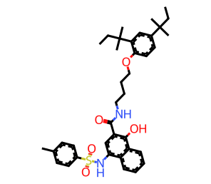 CCC(C)(C)c1ccc(OCCCCNC(=O)c2cc(NS(=O)(=O)c3ccc(C)cc3)c3ccccc3c2O)c(C(C)(C)CC)c1